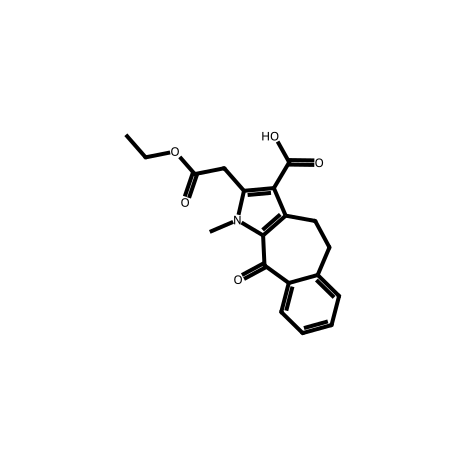 CCOC(=O)Cc1c(C(=O)O)c2c(n1C)C(=O)c1ccccc1CC2